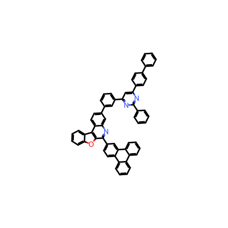 c1ccc(-c2ccc(-c3cc(-c4cccc(-c5ccc6c(c5)nc(-c5ccc7c8ccccc8c8ccccc8c7c5)c5oc7ccccc7c56)c4)nc(-c4ccccc4)n3)cc2)cc1